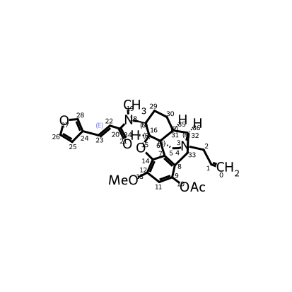 C=CCN1CC[C@]23c4c5c(OC(C)=O)cc(OC)c4O[C@H]2[C@@H](N(C)C(=O)/C=C/c2ccoc2)CC[C@H]3[C@H]1C5